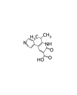 CC(C)c1[nH]c(=O)c(C(=O)O)cc1-c1ccncc1